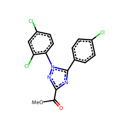 COC(=O)c1nc(-c2ccc(Cl)cc2)n(-c2ccc(Cl)cc2Cl)n1